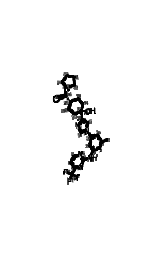 Cc1cc(Nc2nccc(C(F)(F)F)n2)cc(-n2cnc([C@]3(O)CC[C@H](C(=O)N4CCCC4)CC3)c2)c1